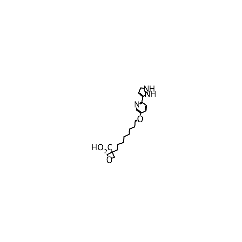 O=C(O)C1(CCCCCCCCOc2ccc(C3=CCNN3)nc2)COC1